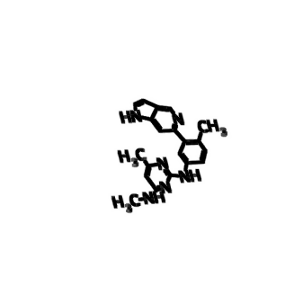 CNc1cc(C)nc(Nc2ccc(C)c(-c3cc4[nH]ccc4cn3)c2)n1